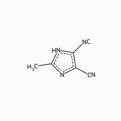 [C-]#[N+]c1[nH]c(C)nc1C#N